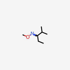 CC/C(=N\OC)C(C)C